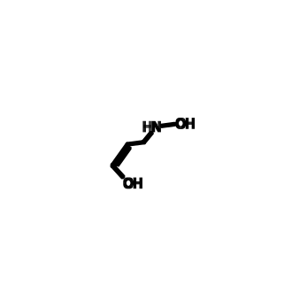 O/C=C\CNO